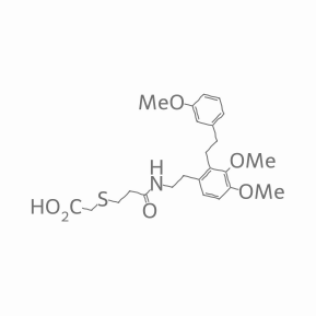 COc1cccc(CCc2c(CCNC(=O)CCSCC(=O)O)ccc(OC)c2OC)c1